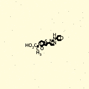 CC(C(=O)O)N1CCc2sc(-c3ccnc(NC4CCOCC4)n3)cc2C1=O